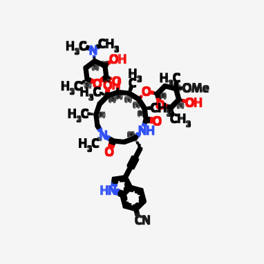 CO[C@]1(C)C[C@H](O[C@H]2[C@H](C)[C@@H](O[C@@H]3O[C@H](C)C[C@H](N(C)C)[C@H]3O)[C@](C)(O)C[C@@H](C)CN(C)C(=O)C[C@@H](CC#Cc3c[nH]c4cc(C#N)ccc34)NC(=O)[C@@H]2C)O[C@@H](C)[C@@H]1O